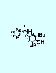 CCC(C)c1cc(CNC(C)c2ccccc2)cc(C(C)CC)c1O